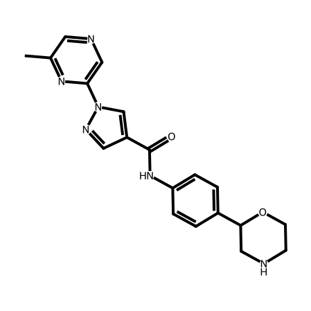 Cc1cncc(-n2cc(C(=O)Nc3ccc(C4CNCCO4)cc3)cn2)n1